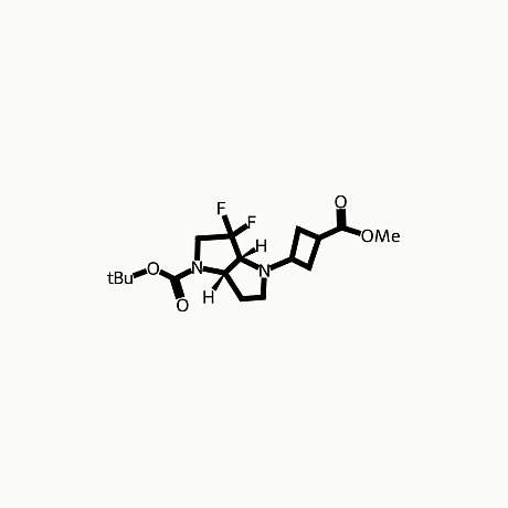 COC(=O)C1CC(N2CC[C@H]3[C@@H]2C(F)(F)CN3C(=O)OC(C)(C)C)C1